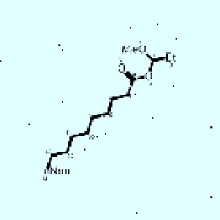 C[CH]C(OC)OC(=O)CCCCCCCCCCCCCCCCC